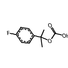 CC(C)(OC(=O)O)c1ccc(F)cc1